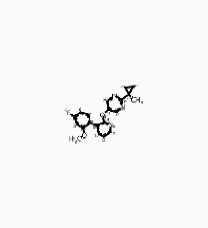 COc1cc(F)ccc1-c1cccnc1Oc1cnc(C2(C)CC2)nc1